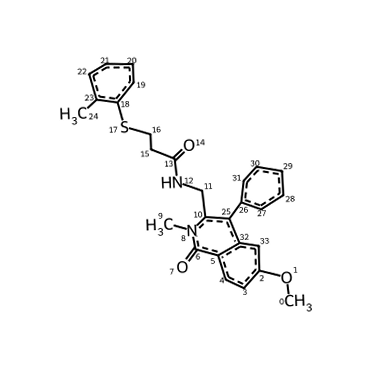 COc1ccc2c(=O)n(C)c(CNC(=O)CCSc3ccccc3C)c(-c3ccccc3)c2c1